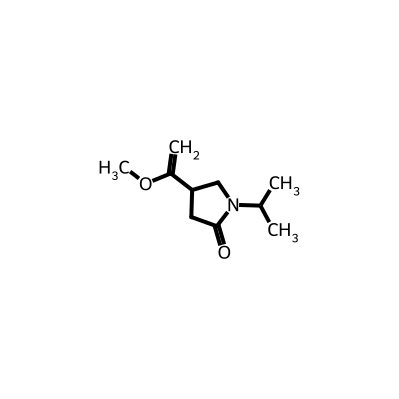 C=C(OC)C1CC(=O)N(C(C)C)C1